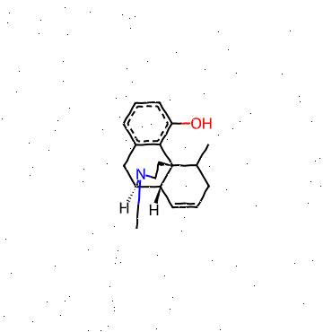 CC1CC=C[C@@H]2[C@H]3Cc4cccc(O)c4[C@]12CCN3C